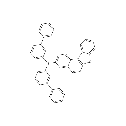 c1ccc(-c2cccc(N(c3cccc(-c4ccccc4)c3)c3ccc4c(ccc5oc6ccccc6c54)c3)c2)cc1